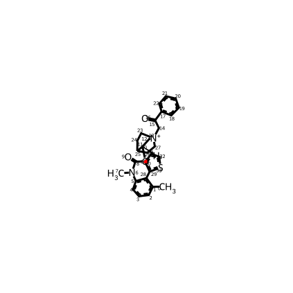 Cc1cccc(N(C)C(=O)O[C@H]2C[N+]3(CC(=O)c4ccccc4)CCC2CC3)c1-c1cccs1